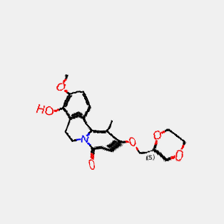 COc1ccc2c(c1O)CCn1c-2c(C)c(OC[C@@H]2COCCO2)cc1=O